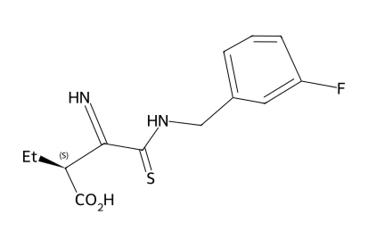 CC[C@@H](C(=N)C(=S)NCc1cccc(F)c1)C(=O)O